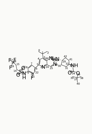 CC(C)c1cc(-c2ccc(NS(=O)(=O)CCC(F)(F)F)c(F)c2)nc2cnc(N[C@H]3CC[C@H](NC(=O)OC(C)(C)C)CC3)nc12